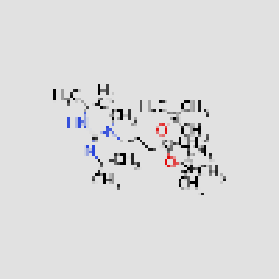 CC(C)N=C(NC(C)C)N(C)CCC[Si](C)(O[Si](C)(C)C)O[Si](C)(C)C